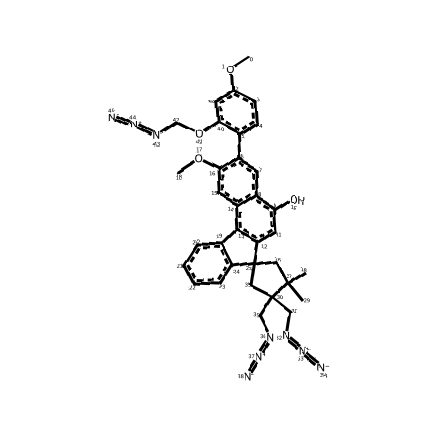 COc1ccc(-c2cc3c(O)cc4c(c3cc2OC)-c2ccccc2C42CC(C)(C)C(CN=[N+]=[N-])(CN=[N+]=[N-])C2)c(OCN=[N+]=[N-])c1